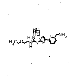 CCOCCN/C(N)=N/c1nc(-c2cccc(CN)n2)co1.Cl.Cl.Cl